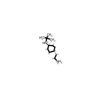 CC(C)(C)N[C@H]1CC[C@H](CCN)CC1